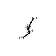 O=C(N[C@@H]1CC[C@H](NC(=O)/C(F)=C\CCCCCCCCO)C1)/C(F)=C/CCCCCCCCO